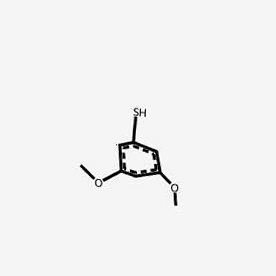 COc1[c]c(S)cc(OC)c1